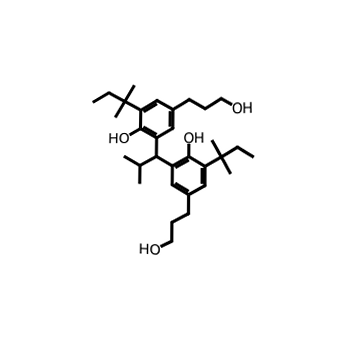 CCC(C)(C)c1cc(CCCO)cc(C(c2cc(CCCO)cc(C(C)(C)CC)c2O)C(C)C)c1O